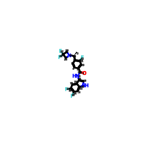 C[C@H](c1ccc(C(=O)Nc2c[nH]c3cc(F)c(F)cc23)cc1F)N1CC(F)(F)C1